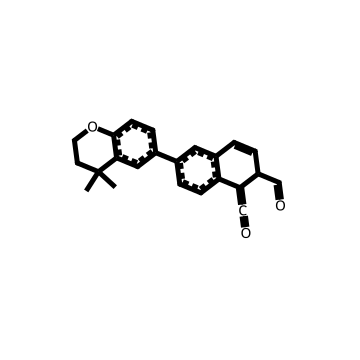 CC1(C)CCOc2ccc(-c3ccc4c(c3)C=CC(C=O)C4=C=O)cc21